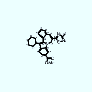 COC(=O)c1ccc2c(C3CCCCC3)c3n(c2c1)CC(c1nc(C)no1)=Cc1ccccc1-3